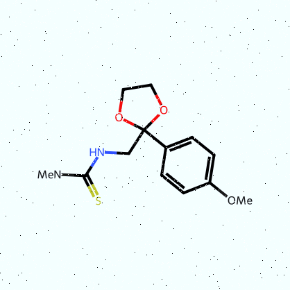 CNC(=S)NCC1(c2ccc(OC)cc2)OCCO1